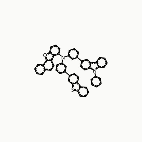 c1ccc(-n2c3ccccc3c3cc(-c4cccc(N(c5cccc(-c6ccc7c(c6)sc6ccccc67)c5)c5cccc6oc7c8ccccc8ccc7c56)c4)ccc32)cc1